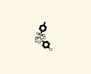 Cc1ccc(S(=O)(=O)NS(=O)(=O)c2ccc(Cl)cc2)cc1.Cl